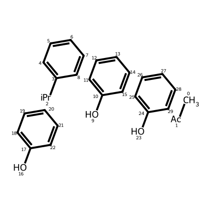 CC(C)=O.CC(C)c1ccccc1.Oc1ccccc1.Oc1ccccc1.Oc1ccccc1